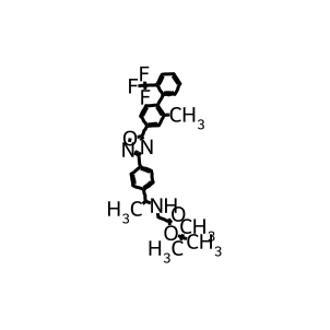 Cc1cc(-c2nc(-c3ccc(C(C)NCC(=O)OC(C)(C)C)cc3)no2)ccc1-c1ccccc1C(F)(F)F